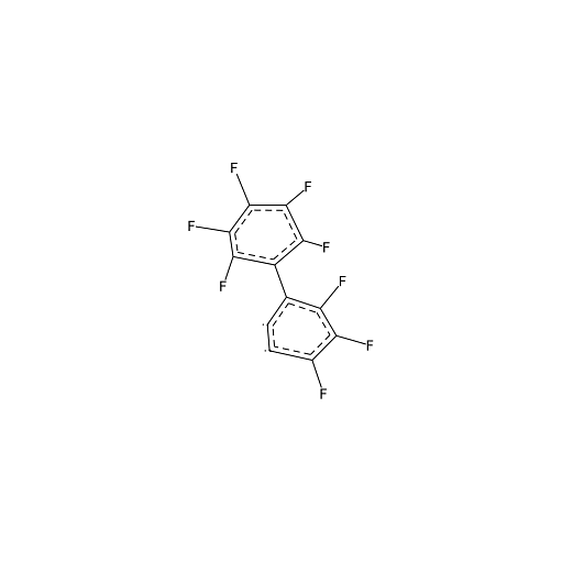 Fc1[c][c]c(-c2c(F)c(F)c(F)c(F)c2F)c(F)c1F